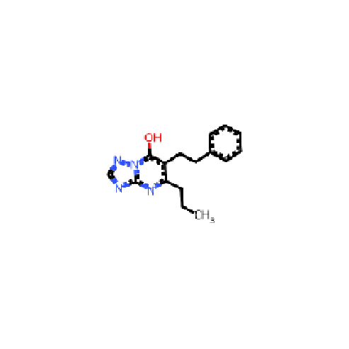 CCCc1nc2ncnn2c(O)c1CCc1ccccc1